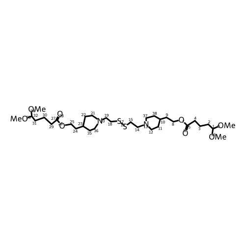 COC(CCCC(=O)OCCC1CCN(CCSSCCN2CCC(CCOC(=O)CCCC(OC)OC)CC2)CC1)OC